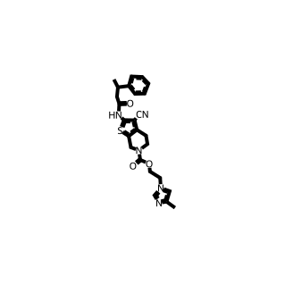 Cc1cn(CCOC(=O)N2CCc3c(sc(NC(=O)CC(C)c4ccccc4)c3C#N)C2)cn1